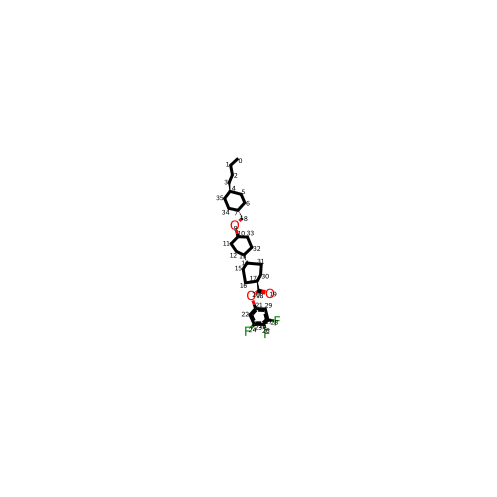 CCCC[C@H]1CC[C@H](COC2CCC([C@H]3CC[C@H](C(=O)Oc4cc(F)c(F)c(F)c4)CC3)CC2)CC1